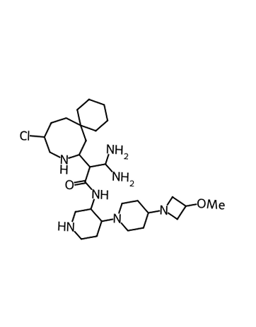 COC1CN(C2CCN(C3CCNCC3NC(=O)C(C(N)N)C3CC4(CCCCC4)CCC(Cl)CN3)CC2)C1